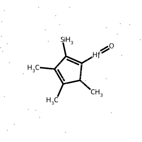 CC1=C(C)C(C)[C]([Hf]=[O])=C1[SiH3]